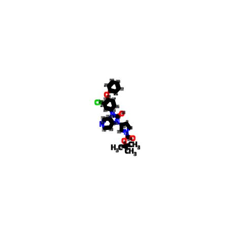 CC(C)(C)OC(=O)N1CC[C@@H](n2c(=O)n(-c3ccc(Oc4ccccc4)c(Cl)c3)c3cnccc32)C1